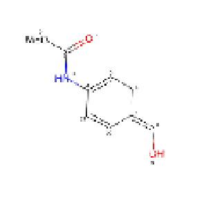 COC(=O)NC1=CCC(=CO)C=C1